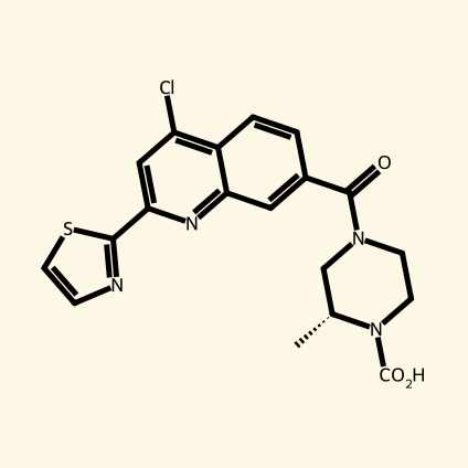 C[C@@H]1CN(C(=O)c2ccc3c(Cl)cc(-c4nccs4)nc3c2)CCN1C(=O)O